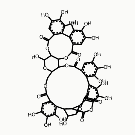 O=C1OC2C(O)OC3COC(=O)c4cc(O)c(O)c(O)c4C4C(O)C5OC(=O)c6c(c(O)c(O)c7c6C5C4C(=O)O7)-c4c(cc(O)c(O)c4O)C(=O)OC3C2OC(=O)c2cc(O)c(O)c(O)c2-c2c1cc(O)c(O)c2O